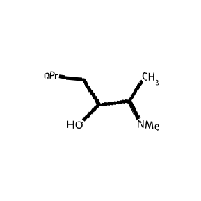 CCCCC(O)C(C)NC